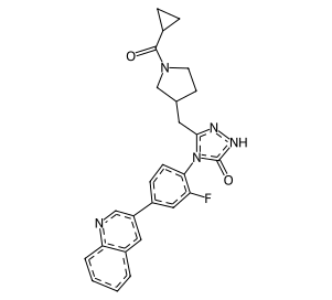 O=C(C1CC1)N1CCC(Cc2n[nH]c(=O)n2-c2ccc(-c3cnc4ccccc4c3)cc2F)C1